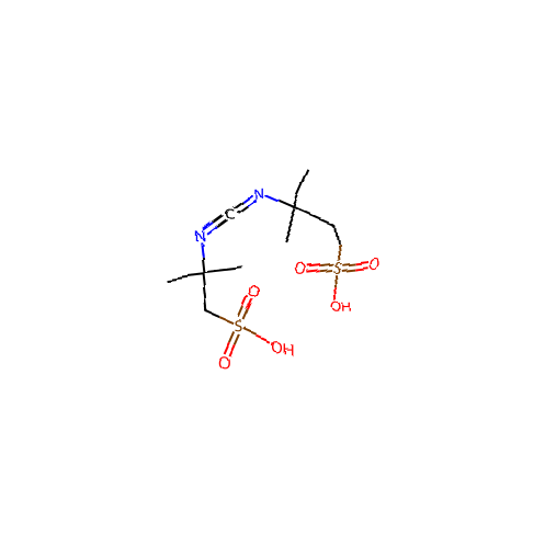 CC(C)(CS(=O)(=O)O)N=C=NC(C)(C)CS(=O)(=O)O